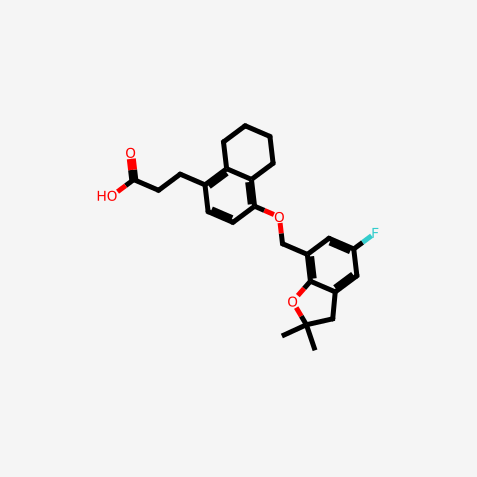 CC1(C)Cc2cc(F)cc(COc3ccc(CCC(=O)O)c4c3CCCC4)c2O1